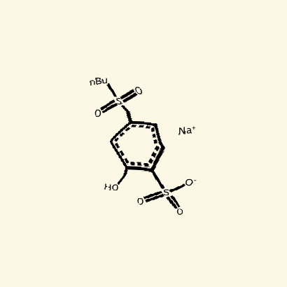 CCCCS(=O)(=O)c1ccc(S(=O)(=O)[O-])c(O)c1.[Na+]